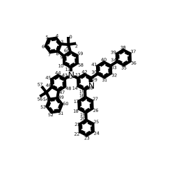 CC1(C)c2ccccc2-c2cc(N(c3cc(-c4ccc(-c5ccccc5)cc4)nc(-c4ccc(-c5ccccc5)cc4)c3)c3ccc4c(c3)-c3ccccc3C4(C)C)ccc21